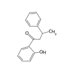 CC(CC(=O)c1ccccc1O)c1ccccc1